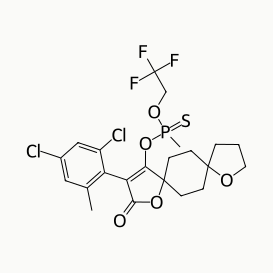 Cc1cc(Cl)cc(Cl)c1C1=C(OP(C)(=S)OCC(F)(F)F)C2(CCC3(CCCO3)CC2)OC1=O